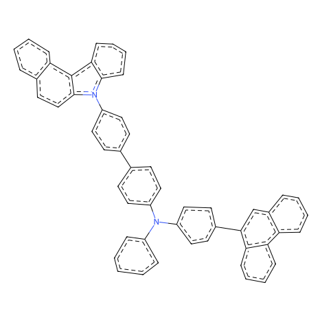 c1ccc(N(c2ccc(-c3ccc(-n4c5ccccc5c5c6ccccc6ccc54)cc3)cc2)c2ccc(-c3cc4ccccc4c4ccccc34)cc2)cc1